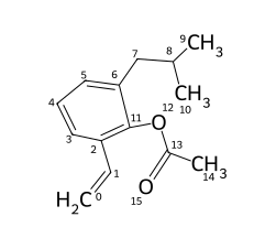 C=Cc1cccc(CC(C)C)c1OC(C)=O